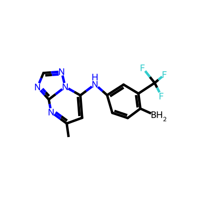 Bc1ccc(Nc2cc(C)nc3ncnn23)cc1C(F)(F)F